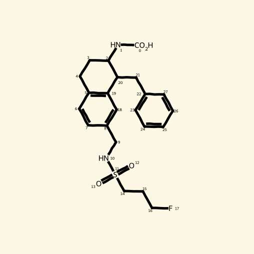 O=C(O)NC1CCc2ccc(CNS(=O)(=O)CCCF)cc2C1Cc1ccccc1